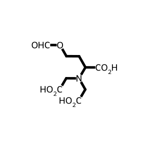 O=COCCC(C(=O)O)N(CC(=O)O)CC(=O)O